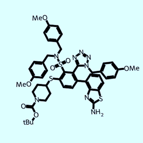 COc1ccc(CN(Cc2ccc(OC)cc2)S(=O)(=O)c2c(SC3CCN(C(=O)OC(C)(C)C)CC3)ccc(-c3cccc4sc(N)nc34)c2-c2nnnn2Cc2ccc(OC)cc2)cc1